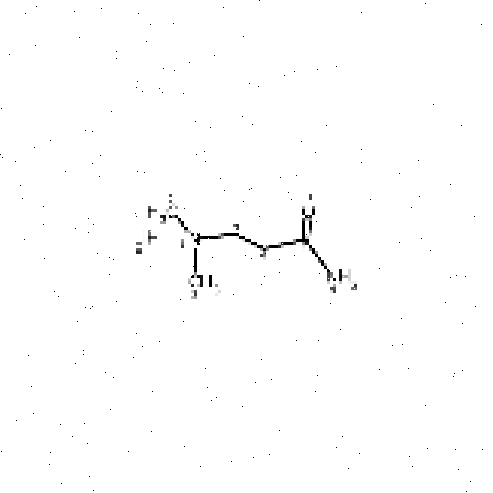 CN(C)CCC(N)=O.[LiH]